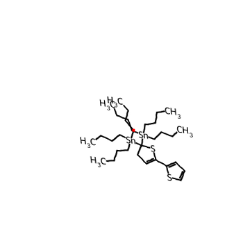 CCC[CH2][Sn]([CH2]CCC)([CH2]CCC)[C]1([Sn]([CH2]CCC)([CH2]CCC)[CH2]CCC)CC=C(c2cccs2)S1